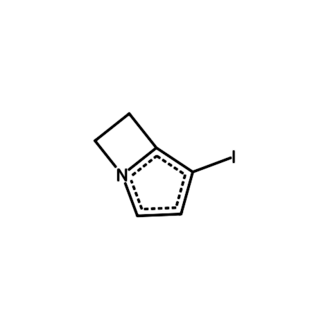 Ic1ccn2c1CC2